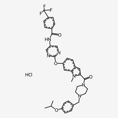 CC(C)Oc1ccc(CN2CCN(C(=O)c3cc4ccc(Oc5ncc(NC(=O)c6ccc(C(F)(F)F)cc6)cn5)cc4n3C)CC2)cc1.Cl